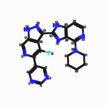 Fc1c(-c2cncnc2)ncc2[nH]nc(-c3nc4c(N5CCCCC5)nccc4[nH]3)c12